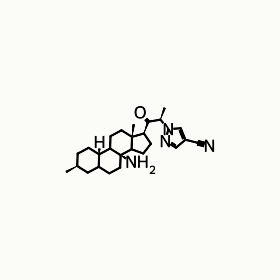 C[C@H]1CC[C@H]2C(CC[C@]3(N)C2CC[C@@]2(C)C3CC[C@@H]2C(=O)[C@@H](C)n2cc(C#N)cn2)C1